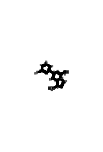 Cc1cnn2c(O)cc(-c3cncc(F)c3)nc12